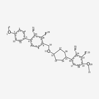 COc1ccc(-c2ccc(COC3CCC(c4ccc(OC)c(F)c4F)CC3)c(F)c2F)cc1